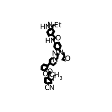 CCc1n[nH]c2ccc(C(=O)Nc3ccc4c(c3)nc(CN3CC=C(c5cccc6c5OC(C)(c5ccc(C#N)cc5F)O6)CC3)n4CC3CCO3)cc12